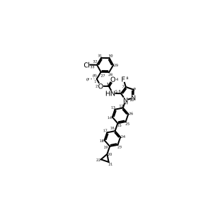 C[C@@H](OC(=O)Nc1c(F)cnn1-c1ccc(-c2ccc(C3CC3)cc2)cc1)c1ccccc1Cl